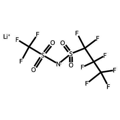 O=S(=O)([N]S(=O)(=O)C(F)(F)C(F)(F)C(F)(F)F)C(F)(F)F.[Li+]